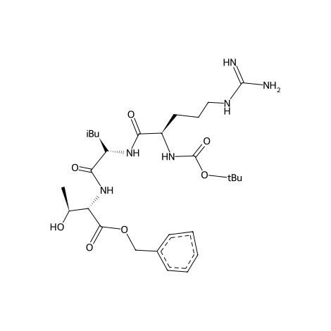 CC[C@H](C)[C@H](NC(=O)[C@@H](CCCNC(=N)N)NC(=O)OC(C)(C)C)C(=O)N[C@H](C(=O)OCc1ccccc1)[C@H](C)O